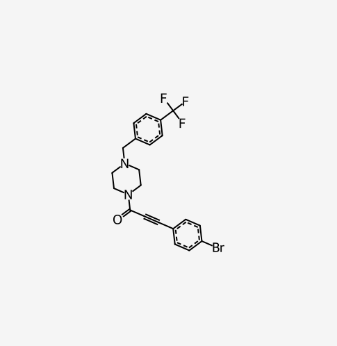 O=C(C#Cc1ccc(Br)cc1)N1CCN(Cc2ccc(C(F)(F)F)cc2)CC1